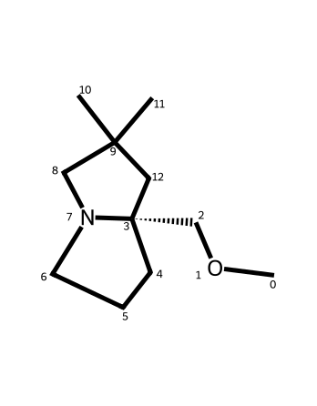 COC[C@]12CCCN1CC(C)(C)C2